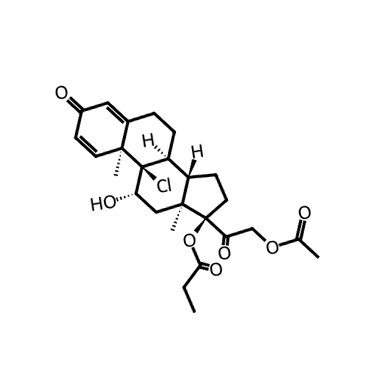 CCC(=O)O[C@]1(C(=O)COC(C)=O)CC[C@H]2[C@@H]3CCC4=CC(=O)C=C[C@]4(C)[C@@]3(Cl)[C@@H](O)C[C@@]21C